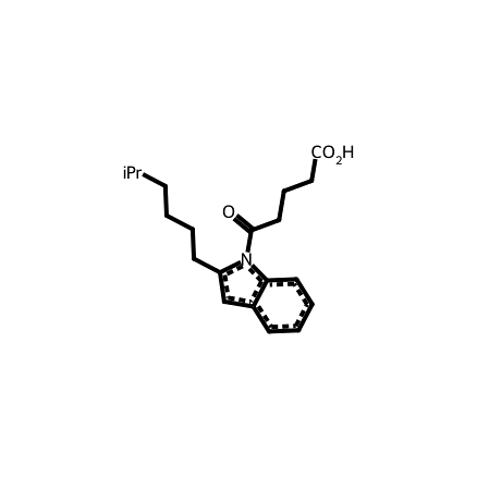 CC(C)CCCCc1cc2ccccc2n1C(=O)CCCC(=O)O